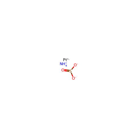 O=S([O-])[O-].[NH4+].[Pt+]